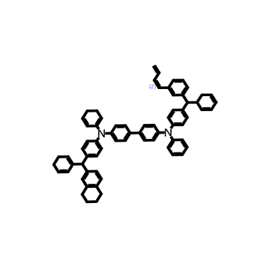 C=C/C=C\c1cccc(C(c2ccc(N(c3ccccc3)c3ccc(-c4ccc(N(C5=CCCC=C5)c5ccc(C(C6=CCCC=C6)c6ccc7c(c6)CCCC7)cc5)cc4)cc3)cc2)C2C=CC=CC2)c1